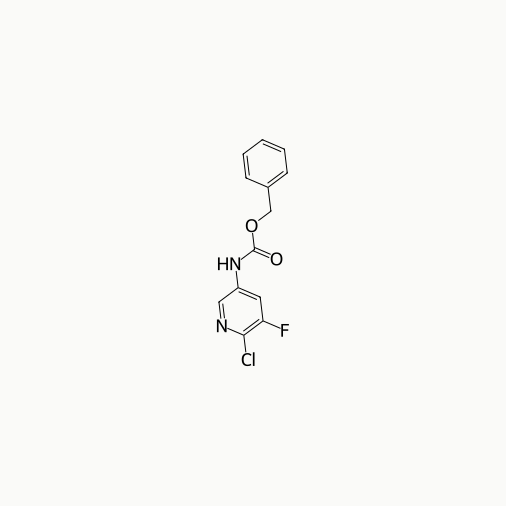 O=C(Nc1cnc(Cl)c(F)c1)OCc1ccccc1